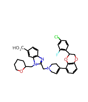 O=C(O)c1ccc2nc(CN3CC=C(c4cccc5c4OC(c4ccc(Cl)cc4F)CO5)CC3)n(CC3CCCCO3)c2c1